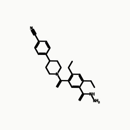 C=C(NN)c1cc(C(=C)N2CCC(c3ccc(C#N)cc3)CC2)c(CC)cc1CC